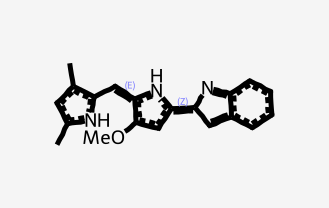 COc1c/c(=C2\C=c3ccccc3=N2)[nH]/c1=C/c1[nH]c(C)cc1C